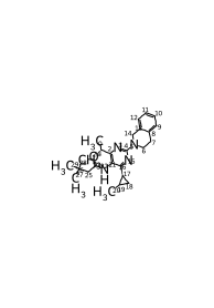 CCc1nc(N2CCc3ccccc3C2)nc([C@H]2CC2C)c1NC(=O)CC(C)(C)C